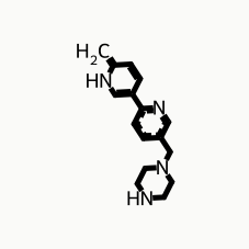 C=C1C=CC(c2ccc(CN3CCNCC3)cn2)=CN1